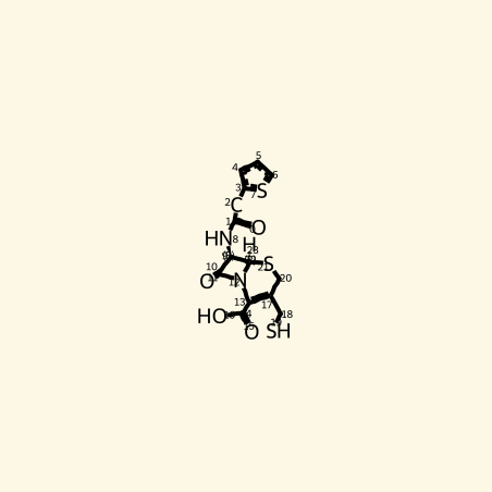 O=C(Cc1cccs1)N[C@@H]1C(=O)N2C(C(=O)O)=C(CS)CS[C@H]12